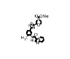 COC(=O)N1CCO[C@@H](c2nc(-c3ccc(C)c(NC(=O)c4cnc5ccccn45)c3)no2)C1